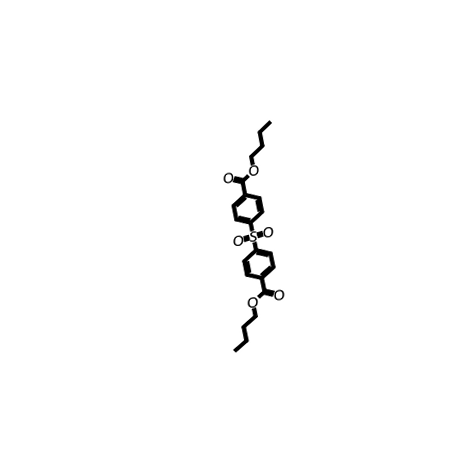 CCCCOC(=O)c1ccc(S(=O)(=O)c2ccc(C(=O)OCCCC)cc2)cc1